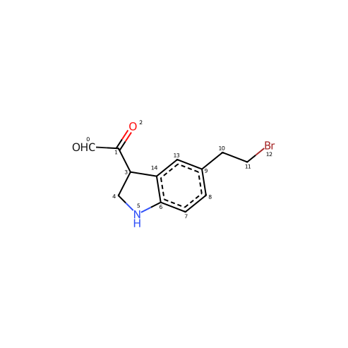 O=CC(=O)C1CNc2ccc(CCBr)cc21